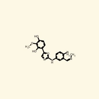 C/N=C\c1cc(Nc2ncc(-c3ccc(O)c(OC)c3O)o2)ccc1N